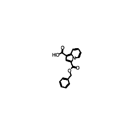 O=C(O)c1cc(C(=O)OCc2ccccc2)n2ccccc12